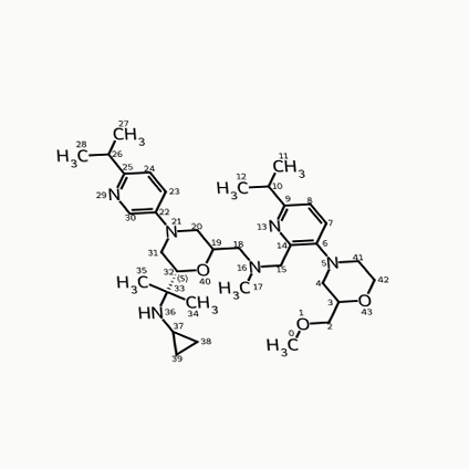 COCC1CN(c2ccc(C(C)C)nc2CN(C)CC2CN(c3ccc(C(C)C)nc3)C[C@@H](C(C)(C)NC3CC3)O2)CCO1